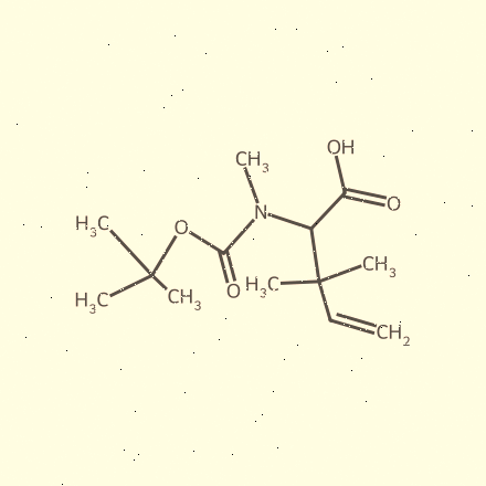 C=CC(C)(C)C(C(=O)O)N(C)C(=O)OC(C)(C)C